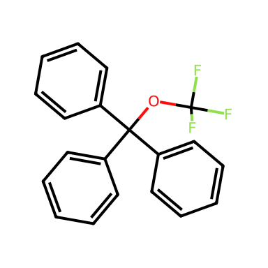 FC(F)(F)OC(c1ccccc1)(c1ccccc1)c1ccccc1